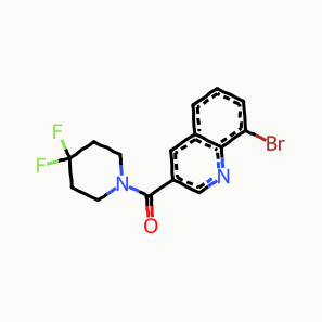 O=C(c1cnc2c(Br)cccc2c1)N1CCC(F)(F)CC1